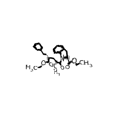 CCOC(=O)[C@H](CCc1ccccc1)C[C@@H](C)C(=O)N1c2ccccc2C[C@H]1C(=O)OCC